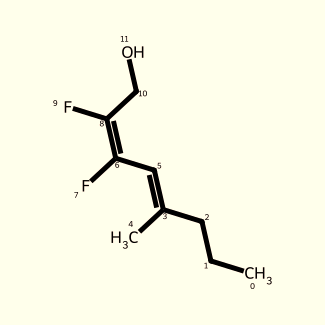 CCC/C(C)=C/C(F)=C(/F)CO